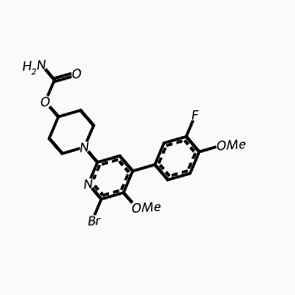 COc1ccc(-c2cc(N3CCC(OC(N)=O)CC3)nc(Br)c2OC)cc1F